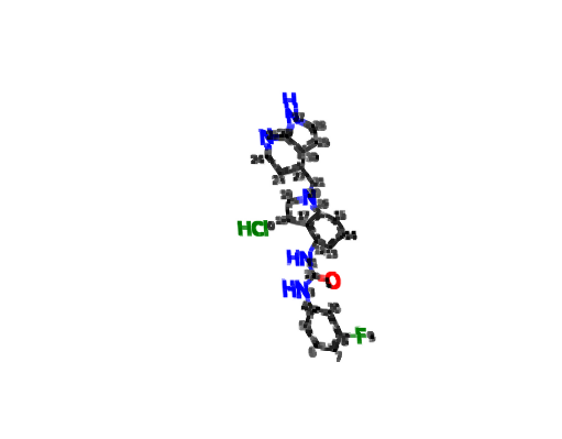 Cl.O=C(Nc1cccc(F)c1)Nc1cccc2c1ccn2Cc1ccnc2[nH]ccc12